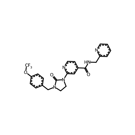 O=C(NCc1ccccn1)c1ccnc(N2CCN(Cc3ccc(OC(F)(F)F)cc3)C2=O)c1